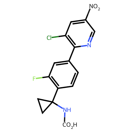 O=C(O)NC1(c2ccc(-c3ncc([N+](=O)[O-])cc3Cl)cc2F)CC1